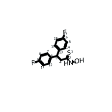 ONC(=S)CC(c1ccc(F)cc1)c1ccc(F)cc1